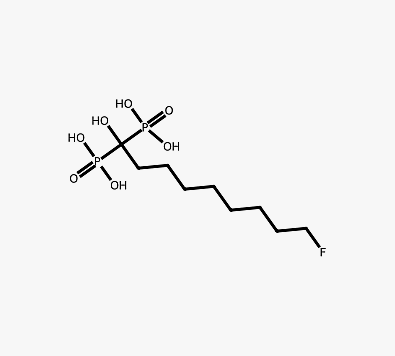 O=P(O)(O)C(O)(CCCCCCCCF)P(=O)(O)O